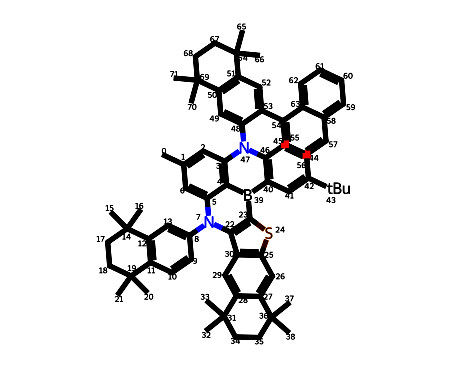 Cc1cc2c3c(c1)N(c1ccc4c(c1)C(C)(C)CCC4(C)C)c1c(sc4cc5c(cc14)C(C)(C)CCC5(C)C)B3c1cc(C(C)(C)C)ccc1N2c1cc2c(cc1-c1cccc3ccccc13)C(C)(C)CCC2(C)C